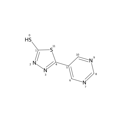 Sc1nnc(-c2cncnc2)s1